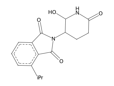 CC(C)c1cccc2c1C(=O)N(C1CCC(=O)NC1O)C2=O